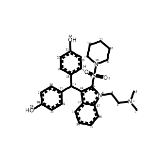 CN(C)CCn1c(S(=O)(=O)N2CCCCC2)c(C(c2ccc(O)cc2)c2ccc(O)cc2)c2ccccc21